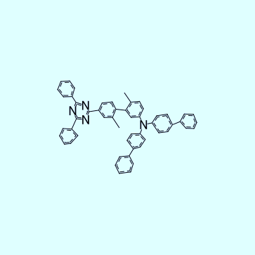 Cc1cc(-c2nc(-c3ccccc3)nc(-c3ccccc3)n2)ccc1-c1cc(N(c2ccc(-c3ccccc3)cc2)c2ccc(-c3ccccc3)cc2)ccc1C